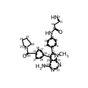 Cn1c(-c2ccc(NC(=O)CC=N)cc2)c(-c2ccc(C(=O)N3CCCC3)cc2)c2c(N)ncnc21